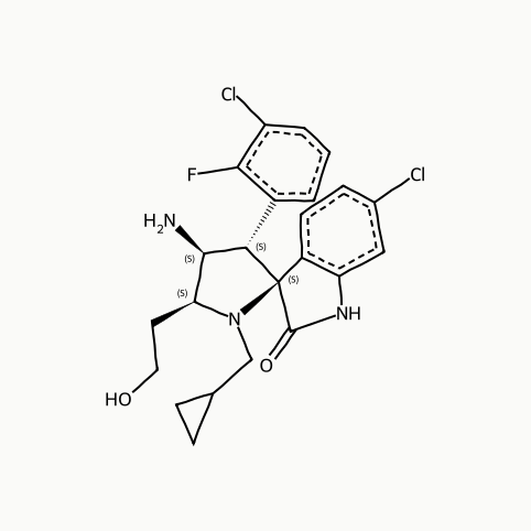 N[C@@H]1[C@H](CCO)N(CC2CC2)[C@@]2(C(=O)Nc3cc(Cl)ccc32)[C@H]1c1cccc(Cl)c1F